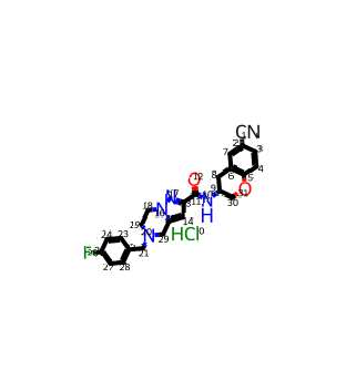 Cl.N#Cc1ccc2c(c1)CC(NC(=O)c1cc3n(n1)CCN(Cc1ccc(F)cc1)C3)CO2